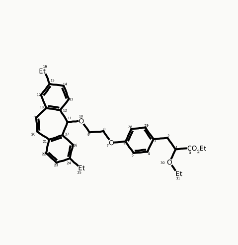 CCOC(=O)C(Cc1ccc(OCCOC2c3ccc(CC)cc3C=Cc3ccc(CC)cc32)cc1)OCC